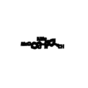 C#Cc1cc2nc(-c3cc4cc(OC)ccc4o3)c(NC)n2cn1